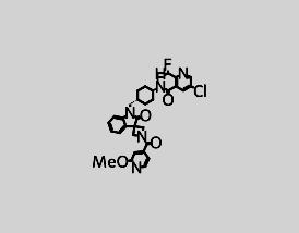 COc1cc(C(=O)N2CC3(C2)C(=O)N(C[C@H]2CC[C@H](NC(=O)c4cc(Cl)cnc4C(F)F)CC2)c2ccccc23)ccn1